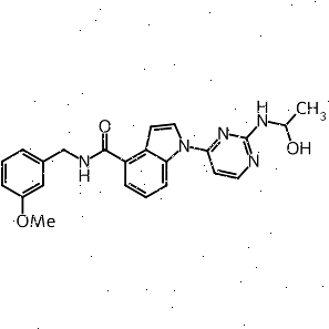 COc1cccc(CNC(=O)c2cccc3c2ccn3-c2ccnc(NC(C)O)n2)c1